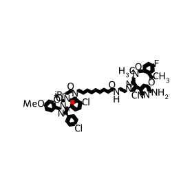 COc1ccc(C2=N[C@H](c3ccc(Cl)cc3)[C@H](c3ccc(Cl)cc3)N2C(=O)N2CCN(CCCCCCCCC(=O)NCCn3nc4c(c3C#N)-c3cnc(N)c(c3)O[C@H](C)c3cc(F)ccc3C(=O)N(C)C4)C(=O)C2)c(OC(C)C)c1